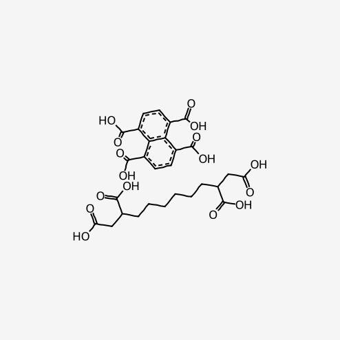 O=C(O)CC(CCCCCCC(CC(=O)O)C(=O)O)C(=O)O.O=C(O)c1ccc(C(=O)O)c2c(C(=O)O)ccc(C(=O)O)c12